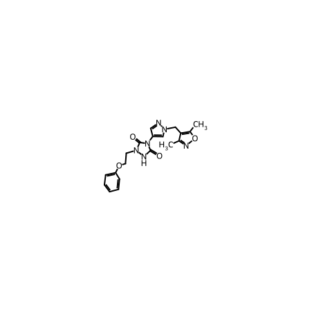 Cc1noc(C)c1Cn1cc(-n2c(=O)[nH]n(CCOc3ccccc3)c2=O)cn1